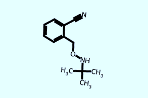 CC(C)(C)NOCc1ccccc1C#N